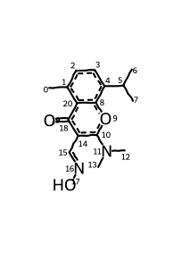 Cc1ccc(C(C)C)c2oc(N(C)C)c(/C=N/O)c(=O)c12